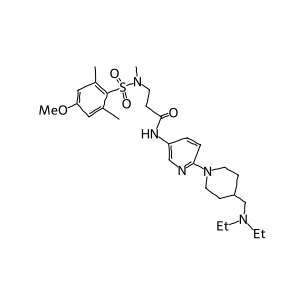 CCN(CC)CC1CCN(c2ccc(NC(=O)CCN(C)S(=O)(=O)c3c(C)cc(OC)cc3C)cn2)CC1